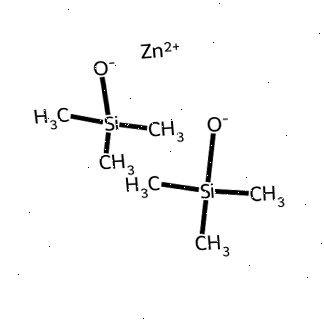 C[Si](C)(C)[O-].C[Si](C)(C)[O-].[Zn+2]